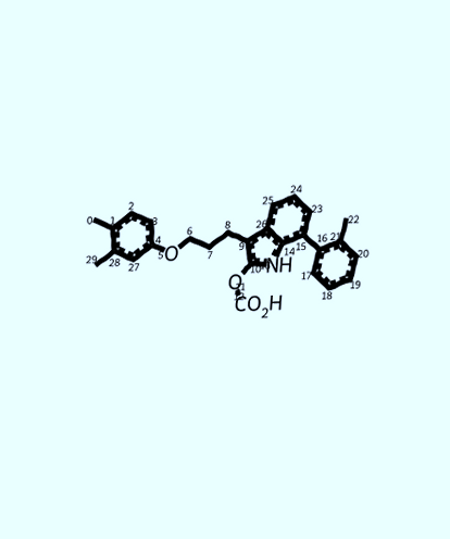 Cc1ccc(OCCCc2c(OC(=O)O)[nH]c3c(-c4ccccc4C)cccc23)cc1C